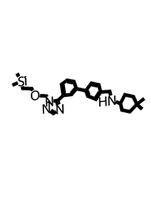 CC1(C)CCC(NCc2ccc(-c3cccc(-c4ncnn4COCC[Si](C)(C)C)c3)cc2)CC1